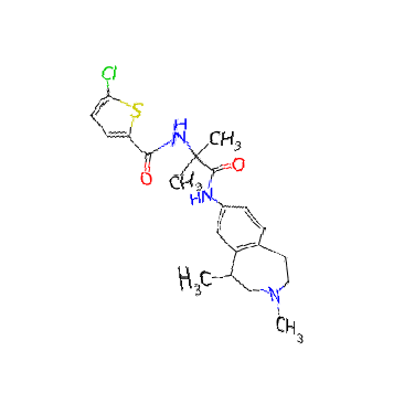 CC1CN(C)CCc2ccc(NC(=O)C(C)(C)NC(=O)c3ccc(Cl)s3)cc21